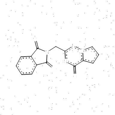 O=C1c2ccccc2C(=O)N1Cc1nn2cccc2c(=O)[nH]1